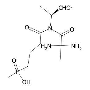 C[C@@H]([C]=O)N(C(=O)CCCP(C)(=O)O)C(=O)C(C)(N)N